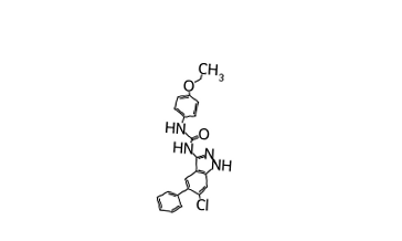 CCOc1ccc(NC(=O)Nc2n[nH]c3cc(Cl)c(-c4ccccc4)cc23)cc1